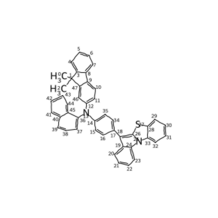 CC1(C)c2ccccc2-c2ccc(N(c3ccc(-c4c5ccccc5n5c4sc4ccccc45)cc3)c3cccc4ccccc34)cc21